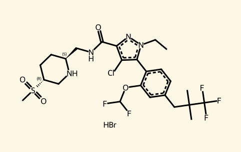 Br.CCn1nc(C(=O)NC[C@@H]2CC[C@@H](S(C)(=O)=O)CN2)c(Cl)c1-c1ccc(CC(C)(C)C(F)(F)F)cc1OC(F)F